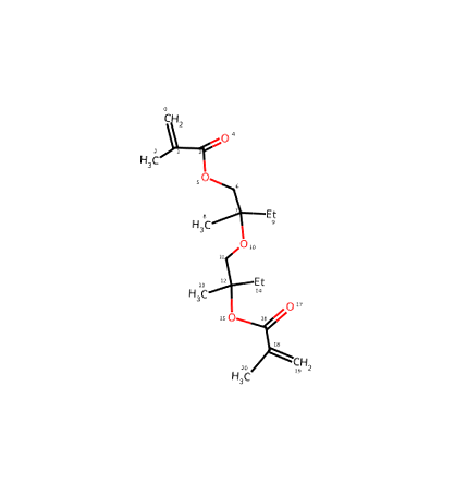 C=C(C)C(=O)OCC(C)(CC)OCC(C)(CC)OC(=O)C(=C)C